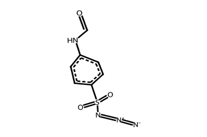 [N-]=[N+]=NS(=O)(=O)c1ccc(NC=O)cc1